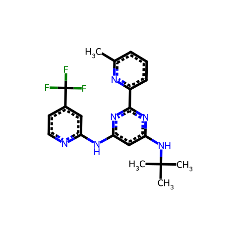 Cc1cccc(-c2nc(Nc3cc(C(F)(F)F)ccn3)cc(NC(C)(C)C)n2)n1